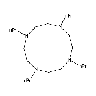 CCCN1CCN(CCC)CCN(CCC)CCN(CCC)CC1